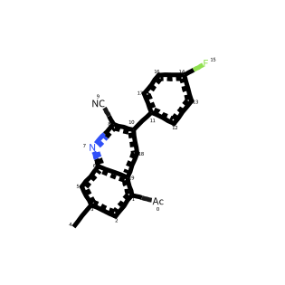 CC(=O)c1cc(C)cc2nc(C#N)c(-c3ccc(F)cc3)cc12